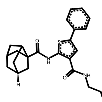 CCCNC(=O)c1cc(-c2ccccc2)sc1NC(=O)C12CC3CC1C[C@@H](C3)C2